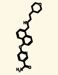 NC(=O)c1ccc(Oc2cccc3c(CNCCC4CCOCC4)cccc23)nc1